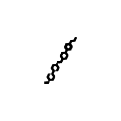 C=C[C@H]1CC[C@H]([C@H]2CC[C@H](C=CC3CCC(c4ccc(CCC)cc4)CC3)CC2)CC1